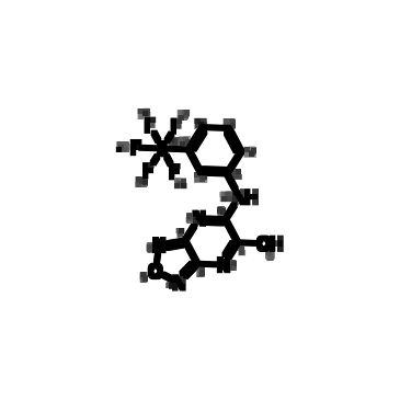 Oc1nc2nonc2nc1Nc1cccc(S(F)(F)(F)(F)F)c1